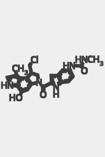 CNC(=O)Nc1ccc2[nH]c(C(=O)N3CC(CCl)c4c3cc(O)c3[nH]cc(C)c43)cc2c1